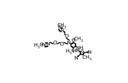 COc1cc(NNc2sc(C#N)c(C)c2C#N)c(C)cc1N(CCOCCOCCn1cc[n+](C)c1)CCOCCn1cc[n+](C)c1